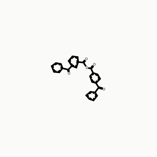 O=C(OC(=O)c1cccc(C(=O)c2ccccc2)c1)c1ccc(C(=O)c2ccccc2)cc1